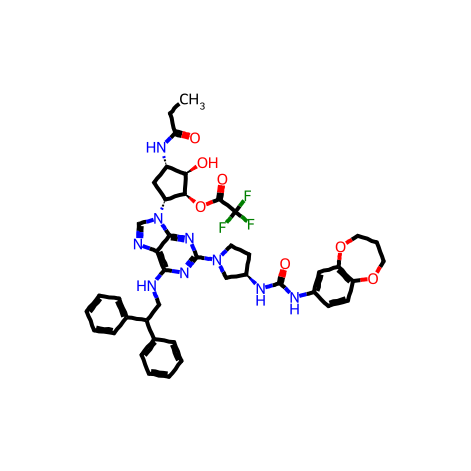 CCC(=O)N[C@H]1C[C@@H](n2cnc3c(NCC(c4ccccc4)c4ccccc4)nc(N4CC[C@@H](NC(=O)Nc5ccc6c(c5)OCCCO6)C4)nc32)[C@H](OC(=O)C(F)(F)F)[C@@H]1O